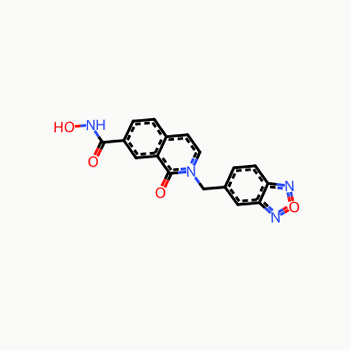 O=C(NO)c1ccc2ccn(Cc3ccc4nonc4c3)c(=O)c2c1